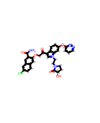 NC(=O)c1cc2cc(Cl)ccc2cc1OCC(=O)c1cn(CCN2CC[C@H](O)C2=O)c2cc(Oc3cccnn3)ccc12